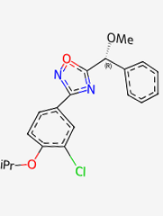 CO[C@H](c1ccccc1)c1nc(-c2ccc(OC(C)C)c(Cl)c2)no1